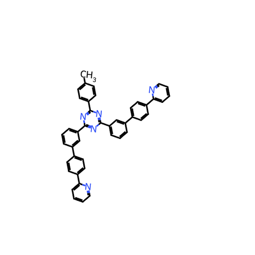 Cc1ccc(-c2nc(-c3cccc(-c4ccc(-c5ccccn5)cc4)c3)nc(-c3cccc(-c4ccc(-c5ccccn5)cc4)c3)n2)cc1